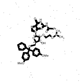 COc1ccc(C(OC[C@H]2O[C@@H](n3cnc4c(=O)[nH]c(NC(=O)C(C)C)nc43)[C@H](OCCON(C)C)[C@@H]2O)(c2ccccc2)c2ccc(OC)cc2)cc1